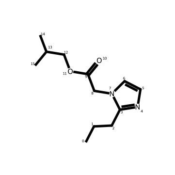 CCCc1nccn1CC(=O)OCC(C)C